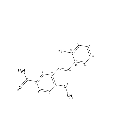 COc1ccc(C(N)=O)cc1C=Cc1ccccc1F